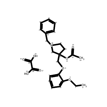 CCOc1ccccc1OCC1(OC(C)=O)CCN(Cc2ccccc2)C1.O=C(O)C(=O)O